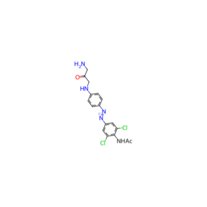 CC(=O)Nc1c(Cl)cc(/N=N/c2ccc(NCC(=O)CN)cc2)cc1Cl